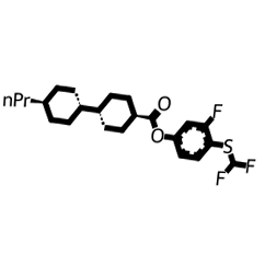 CCC[C@H]1CC[C@H]([C@H]2CC[C@H](C(=O)Oc3ccc(SC(F)F)c(F)c3)CC2)CC1